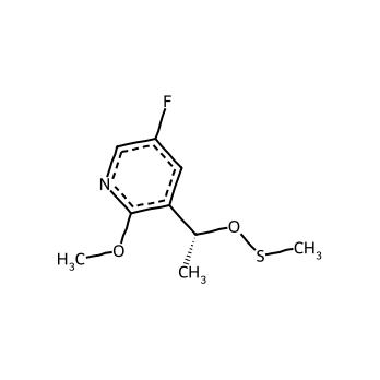 COc1ncc(F)cc1[C@@H](C)OSC